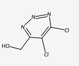 OCc1nnnc(Cl)c1Cl